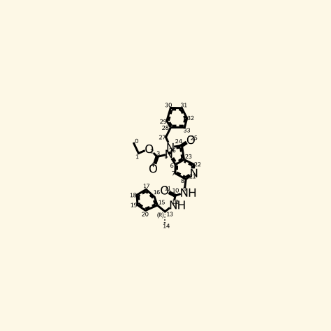 CCOC(=O)n1c2cc(NC(=O)N[C@H](C)c3ccccc3)ncc2c(=O)n1Cc1ccccc1